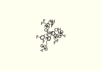 CC(C)(CCc1ccc(-c2ccc(Cl)c3c(NS(=O)(=O)C4CC4)nn(CC(F)F)c23)c([C@H](Cc2cc(F)cc(F)c2)NC(=O)Cn2nc(C(F)F)c3c2C(F)(F)[C@@H]2CC32)n1)S(=O)(=O)C1CC1